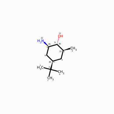 C[C@H]1C[C@@H](C(C)(C)C)C[C@@H](N)[C@@H]1O